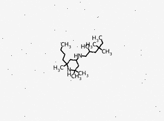 CCCCC1(C)CC(NCC(O)CC(C)(C)CC)CC(C)(C)N1